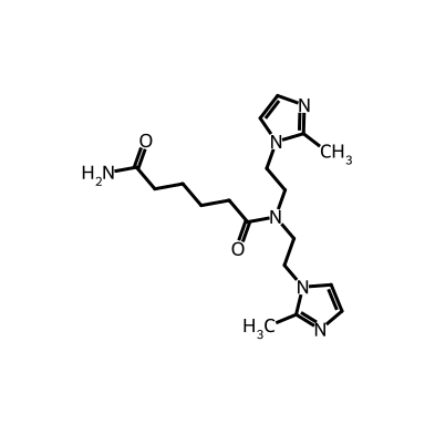 Cc1nccn1CCN(CCn1ccnc1C)C(=O)CCCCC(N)=O